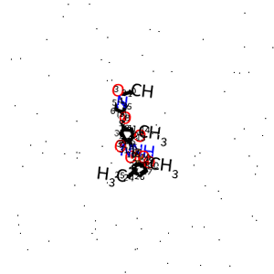 C#CC(=O)N1CC[C@H](OCc2cc(OC)c3c(NS(=O)(=O)c4cc(CC)ccc4OC)noc3c2)C1